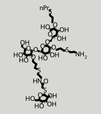 CCCSCCCO[C@@H]1[C@@H](O)[C@H](O)[C@@H](CO[C@H]2O[C@H](CO[C@H]3O[C@H](CO)[C@@H](O)[C@H](O)[C@H]3OCCCSCCNC(=O)CS[C@H]3OC(CO)[C@@H](O)[C@H](O)C3O)[C@@H](O)[C@H](O)[C@H]2OCCCSCCN)O[C@@H]1O